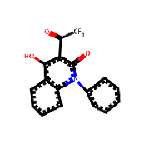 O=C(c1c(O)c2ccccc2n(-c2ccccc2)c1=O)C(F)(F)F